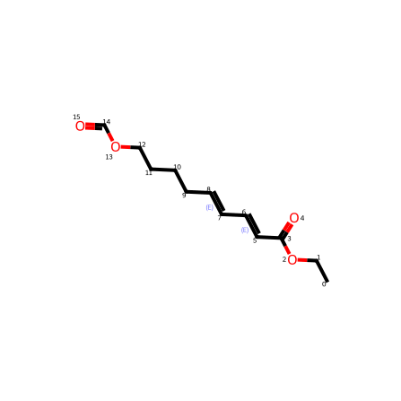 CCOC(=O)/C=C/C=C/CCCCOC=O